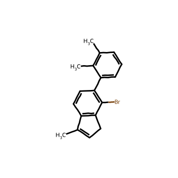 CC1=CCc2c1ccc(-c1cccc(C)c1C)c2Br